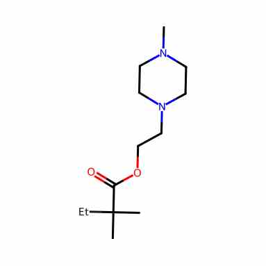 CCC(C)(C)C(=O)OCCN1CCN(C)CC1